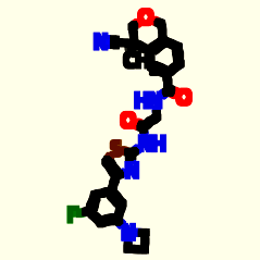 C[C@@]1(C#N)COCc2ccc(C(=O)NCC(=O)Nc3nc(-c4cc(F)cc(N5CCC5)c4)cs3)cc21